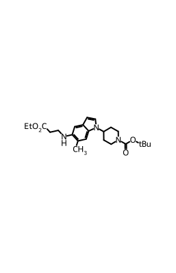 CCOC(=O)CCNc1cc2ccn(C3CCN(C(=O)OC(C)(C)C)CC3)c2cc1C